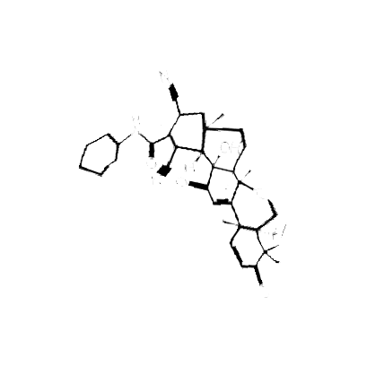 CC1(C)C(=O)C=C[C@]2(C)C3=CC(=O)[C@]4(O)[C@@H]5C(C#N)[C@@](C)(C(=O)NC6CCCCC6)C(C#N)C[C@]5(C)CC[C@@]4(C)[C@]3(C)CC[C@@H]12